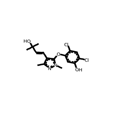 Cc1nn(C)c(Oc2cc(O)c(Cl)cc2Cl)c1/C=C/C(C)(C)O